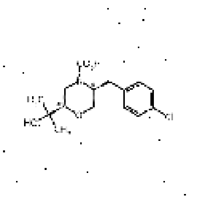 CC(C)(O)[C@H]1CN(C(=O)O)[C@@H](Cc2ccc(Cl)cc2)CO1